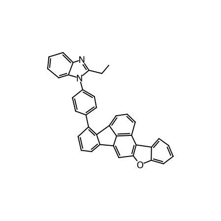 CCc1nc2ccccc2n1-c1ccc(-c2cccc3c2-c2cccc4c2c-3cc2oc3ccccc3c24)cc1